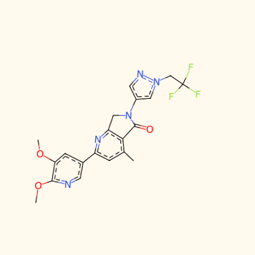 COc1cc(-c2cc(C)c3c(n2)CN(c2cnn(CC(F)(F)F)c2)C3=O)cnc1OC